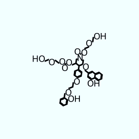 O=C(OCCOCCO)OCC1CN(C(=O)OCCOCCO)CC(OCc2cc(O)c3ccccc3c2)C1c1ccc(OCCCOCc2ccccc2O)cc1